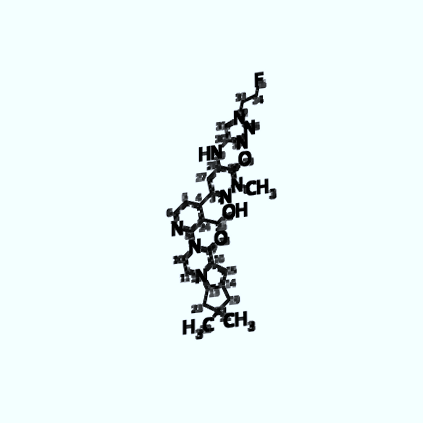 Cn1nc(-c2ccnc(-n3ccn4c5c(cc4c3=O)CC(C)(C)C5)c2CO)cc(Nc2cn(CCF)nn2)c1=O